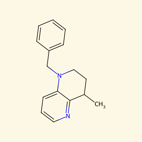 CC1CCN(Cc2ccccc2)c2cccnc21